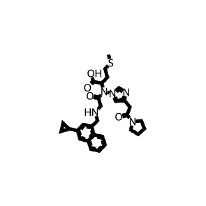 CSCCC(C(=O)O)N(C(=O)CNCc1cc(C2CC2)cc2ccccc12)n1cnc(CC(=O)N2CCCC2)c1